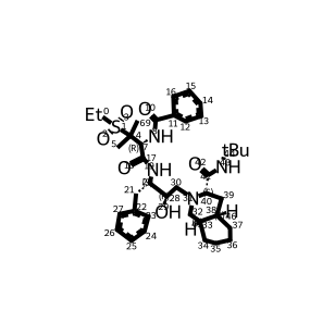 CCS(=O)(=O)C(C)(C)[C@H](NC(=O)c1ccccc1)C(=O)N[C@@H](Cc1ccccc1)[C@H](O)CN1C[C@H]2CCCC[C@H]2C[C@H]1C(=O)NC(C)(C)C